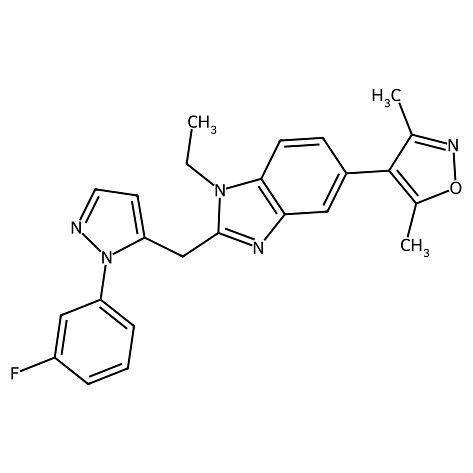 CCn1c(Cc2ccnn2-c2cccc(F)c2)nc2cc(-c3c(C)noc3C)ccc21